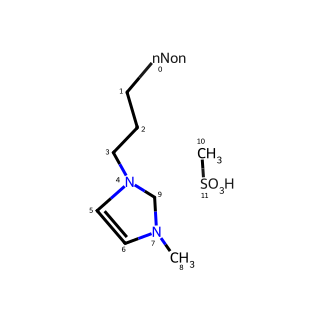 CCCCCCCCCCCCN1C=CN(C)C1.CS(=O)(=O)O